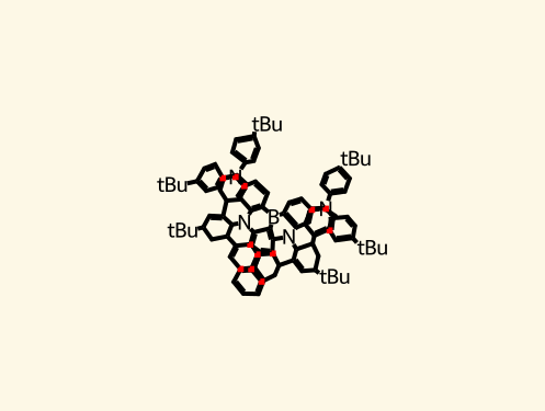 CC(C)(C)c1ccc(N(c2ccc(C(C)(C)C)cc2)c2ccc3c(c2)N(C2C(C4CC=CCC4)=CC(C(C)(C)C)CC2C2=CCCCC2)c2cc(-c4ccccc4)cc4c2B3c2ccc(N(c3ccc(C(C)(C)C)cc3)c3ccc(C(C)(C)C)cc3)cc2N4C2C(C3CC=CCC3)=CC(C(C)(C)C)CC2C2=CCCCC2)cc1